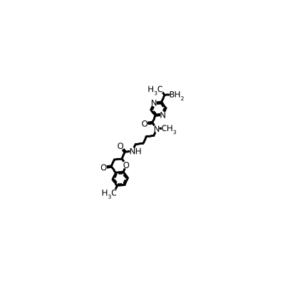 BC(C)c1cnc(C(=O)N(C)CCCCNC(=O)C2CC(=O)c3cc(C)ccc3O2)cn1